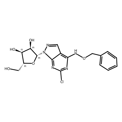 OC[C@H]1O[C@@H](n2ncc3c(NOCc4ccccc4)nc(Cl)nc32)[C@H](O)[C@@H]1O